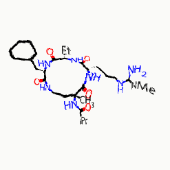 CC[C@@H]1NC(=O)[C@H](CCCNC(N)NC)NC(=O)[C@](C)(NC(=O)C(C)C)CCNC(=O)[C@@H](CC2CCCCC2)NC1=O